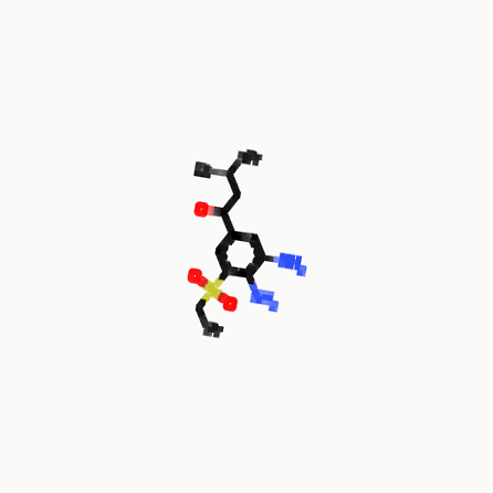 CCCC(CC)CC(=O)c1cc(N)c(N)c(S(=O)(=O)CC(C)C)c1